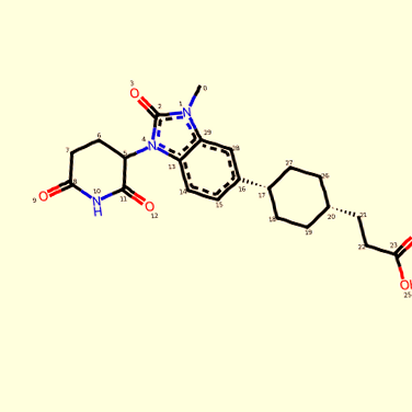 Cn1c(=O)n(C2CCC(=O)NC2=O)c2ccc([C@H]3CC[C@@H](CCC(=O)O)CC3)cc21